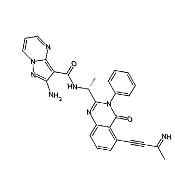 CC(=N)C#Cc1cccc2nc([C@@H](C)NC(=O)c3c(N)nn4cccnc34)n(-c3ccccc3)c(=O)c12